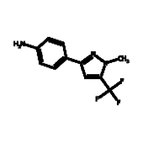 Cn1nc(-c2ccc(N)cc2)cc1C(F)(F)F